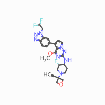 C#CC1(N2CC[C@H](Nc3nc(OC)c4c(-c5ccc6nnn(CC(F)F)c6c5)ccn4n3)[C@H](F)C2)COC1